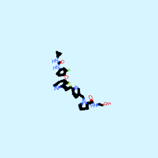 O=C(Nc1ccc(Oc2ccnc3cc(-c4ccc(CN5CCCC5C(=O)NCCO)cn4)sc23)c(F)c1)NC1CC1